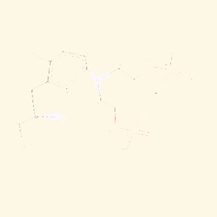 Cc1ccc(N(CCOS(C)(=O)=O)CCOS(C)(=O)=O)cc1CC(N)CC(=O)O